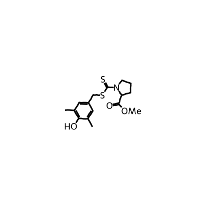 COC(=O)C1CCCN1C(=S)SCc1cc(C)c(O)c(C)c1